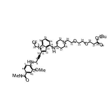 CNC(=O)c1ccc(NCC#Cc2cc3c(NC4CCN(CCOCCOCCC(=O)OC(C)(C)C)CC4)cccc3n2CC(F)(F)F)c(OC)c1